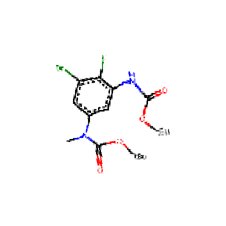 CN(C(=O)OC(C)(C)C)c1cc(Br)c(Cl)c(NC(=O)OC(C)(C)C)c1